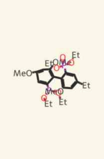 CCOP(OCC)c1cc(OC)cc(OC)c1-c1c(OC)cc(CC)cc1P(=O)(OCC)OCC